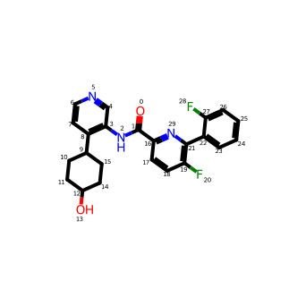 O=C(Nc1cnccc1C1CCC(O)CC1)c1ccc(F)c(-c2ccccc2F)n1